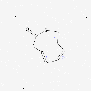 O=C1C/N=C/C=C\C=C\S1